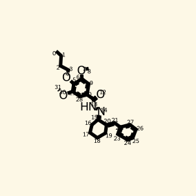 CCCCOc1c(OC)cc(C(=O)NN=C2CCCCC2=Cc2ccccc2)cc1OC